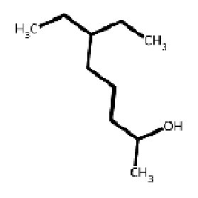 CCC(CC)CCCC(C)O